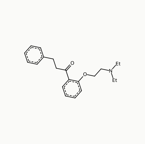 CCN(CC)CCOc1ccccc1C(=O)CCc1ccccc1